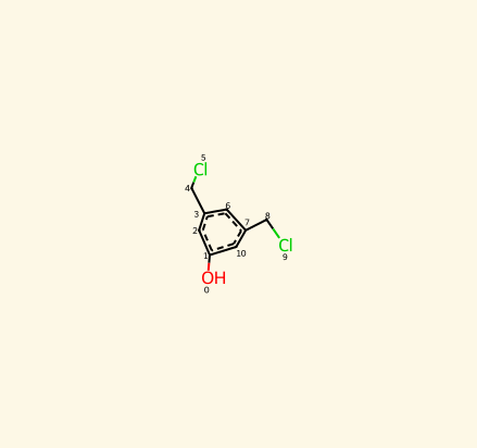 Oc1cc(CCl)cc(CCl)c1